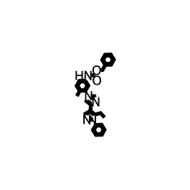 CCc1c(-c2cn(-c3cc(NC(=O)OCc4ccccc4)ccc3C)cn2)cnn1-c1ccccc1